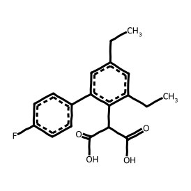 CCc1cc(CC)c(C(C(=O)O)C(=O)O)c(-c2ccc(F)cc2)c1